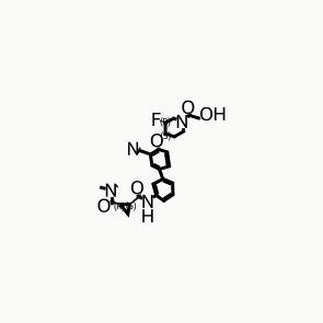 CN(C)C(=O)[C@@H]1C[C@@H]1C(=O)Nc1cccc(-c2ccc(O[C@H]3CCN(C(=O)CO)C[C@H]3F)c(C#N)c2)c1